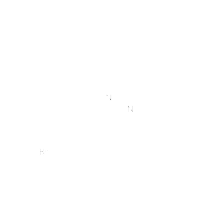 Brc1cccc(-c2cccc(-c3nc(-c4ccccc4)c4ccccc4n3)c2)c1